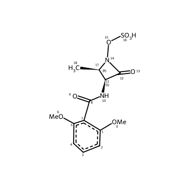 COc1cccc(OC)c1C(=O)N[C@@H]1C(=O)N(OS(=O)(=O)O)[C@@H]1C